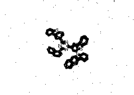 c1ccc2cc3c(cc2c1)c1ccccc1n3-c1cc(-c2nc(-c3ccc4sc5ccccc5c4c3)nc(-c3cccc4ccccc34)n2)cc2c1sc1ccccc12